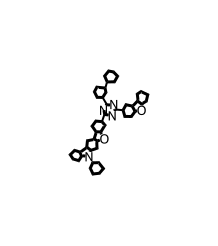 c1ccc(-c2cccc(-c3nc(-c4ccc5c(c4)oc4cc6c(cc45)c4ccccc4n6-c4ccccc4)nc(-c4ccc5oc6ccccc6c5c4)n3)c2)cc1